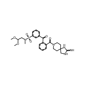 COC(CN(C)S(=O)(=O)c1cccc(C(=O)c2ccccc2C(=O)N2CCC3(CC2)CNC(=N)N3)c1)OC